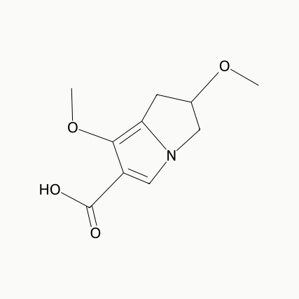 COc1c(C(=O)O)cn2c1CC(OC)C2